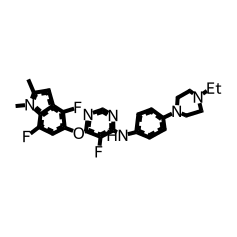 CCN1CCN(c2ccc(Nc3ncnc(Oc4cc(F)c5c(cc(C)n5C)c4F)c3F)cc2)CC1